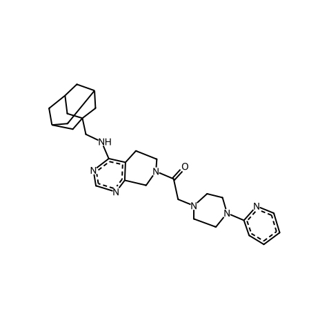 O=C(CN1CCN(c2ccccn2)CC1)N1CCc2c(ncnc2NCC23CC4CC(CC(C4)C2)C3)C1